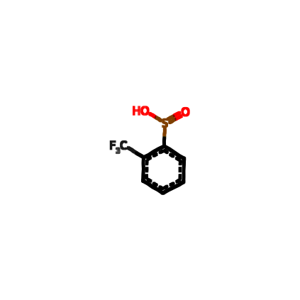 O=S(O)c1ccccc1C(F)(F)F